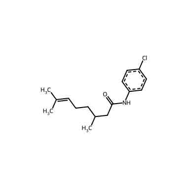 CC(C)=CCCC(C)CC(=O)Nc1ccc(Cl)cc1